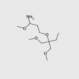 [CH2]CC(COC)(COC)OCCC(N)OC